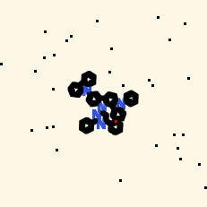 c1ccc(-c2cc(-n3c4ccc(-n5c6ccccc6c6ccccc65)cc4c4ccc5c(c6ccccc6n5-c5ccccc5)c43)nc(-c3ccccc3)n2)cc1